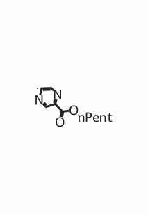 CCCCCOC(=O)c1cn[c]cn1